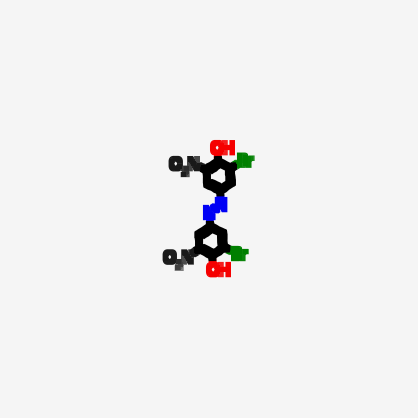 O=[N+]([O-])c1cc(N=Nc2cc(Br)c(O)c([N+](=O)[O-])c2)cc(Br)c1O